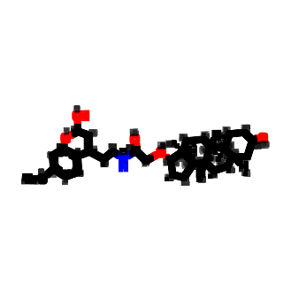 COc1ccc2c(c1)OC(O)C=C2CCNC(=O)CO[C@H]1CC[C@H]2[C@@H]3CC[C@H]4CC(=O)CC[C@]4(C)[C@H]3CC[C@]12C